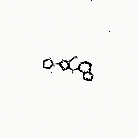 CC(C)(C)n1nc([C@H]2C[CH]CO2)cc1Nc1nccc2nccn12